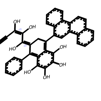 C#C/C(O)=C(O)\C(O)=C1/CC(c2cc3c4ccccc4ccc3c3ccccc23)=c2c(O)c(O)c(O)c(O)c2=C1c1ccccc1